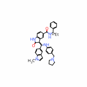 CC[C@@H](NC(=O)c1ccc2c(c1)C(=C(Nc1ccc(CN3CCCC3)cc1)c1ccc3c(ccn3C)c1)C(=O)N2)c1ccccc1